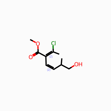 COC(=O)C(/C=C\C(C)CO)=C(/C)Cl